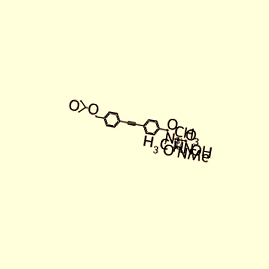 CNC(=O)[C@@](C)(C(=O)NO)N(C)C(=O)c1ccc(C#Cc2ccc(COC3COC3)cc2)cc1